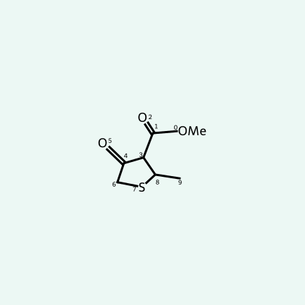 COC(=O)C1C(=O)CSC1C